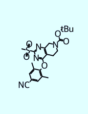 Cc1cc(C#N)cc(C)c1Oc1nc(S(C)(=O)=O)nc2c1CCN(C(=O)OC(C)(C)C)C2